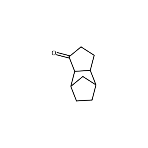 O=C1CCC2C3CCC(C3)C12